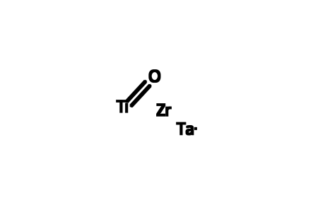 [O]=[Ti].[Ta].[Zr]